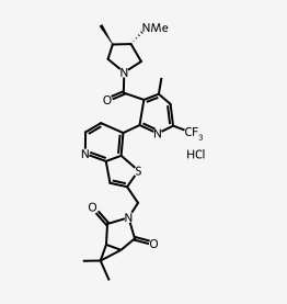 CN[C@@H]1CN(C(=O)c2c(C)cc(C(F)(F)F)nc2-c2ccnc3cc(CN4C(=O)C5C(C4=O)C5(C)C)sc23)C[C@H]1C.Cl